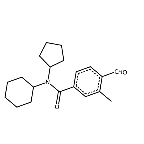 Cc1cc(C(=O)N(C2CCCCC2)C2CCCC2)ccc1C=O